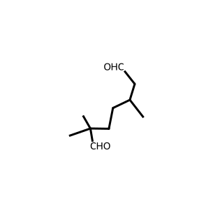 CC(CC=O)CCC(C)(C)C=O